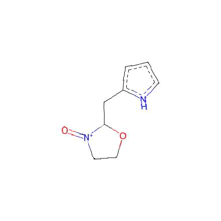 O=[N+]1CCOC1Cc1ccc[nH]1